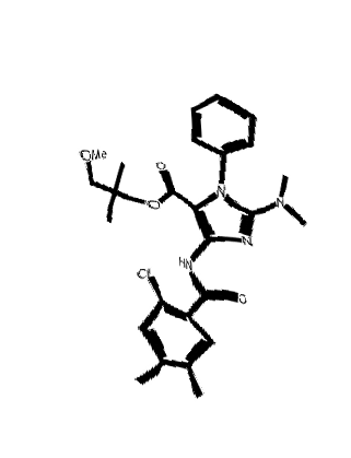 COCC(C)(C)OC(=O)c1c(NC(=O)c2cc(C)c(C)cc2Cl)nc(N(C)C)n1-c1ccccc1